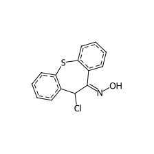 O/N=C1\c2ccccc2Sc2ccccc2C1Cl